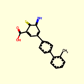 Cc1ccccc1-c1ccc(C2=CC(=N)C(=S)C(C(=O)O)=C2)cc1